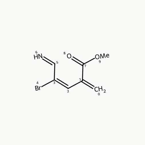 C=C(/C=C(/Br)C=N)C(=O)OC